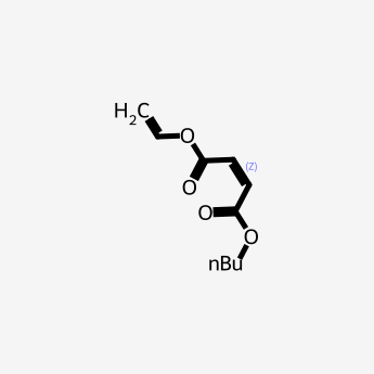 C=COC(=O)/C=C\C(=O)OCCCC